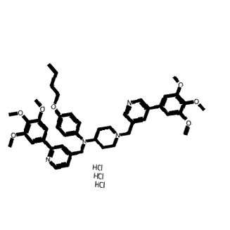 CCCCOc1ccc(N(Cc2ccnc(-c3cc(OC)c(OC)c(OC)c3)c2)C2CCN(Cc3cncc(-c4cc(OC)c(OC)c(OC)c4)c3)CC2)cc1.Cl.Cl.Cl